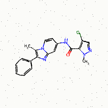 Cc1c(-c2ccccc2)nc2cc(NC(=O)c3c(Cl)cnn3C)ccn12